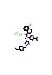 CCc1ccc(Cn2cc(CN(C(=O)C3CCCc4c(O)cccc43)c3ccc(C(C)C)nc3)cn2)nc1.Cl.Cl